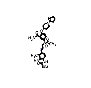 CC1=C(/C=C/CN(c2ccc(OC3CCN(C4=NCCC4)CC3)c(C(N)=O)c2)S(C)(=O)=O)C=CC(NC(=O)C(C)(C)C)C1=N